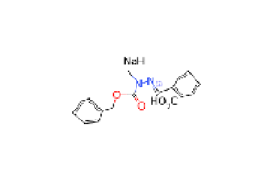 CN(/N=C(\C(=O)O)c1ccccc1)C(=O)OCc1ccccc1.[NaH]